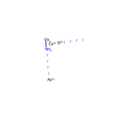 CN.[Ca+2].[I-].[I-].[I-].[I-].[I-].[I-].[I-].[I-].[Pb+2].[Ti+4]